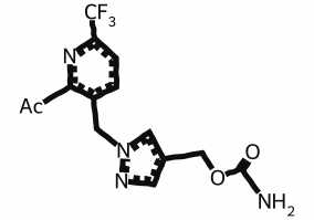 CC(=O)c1nc(C(F)(F)F)ccc1Cn1cc(COC(N)=O)cn1